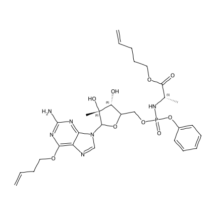 C=CCCCOC(=O)[C@H](C)NP(=O)(OCC1OC(n2cnc3c(OCCC=C)nc(N)nc32)[C@](C)(O)[C@@H]1O)Oc1ccccc1